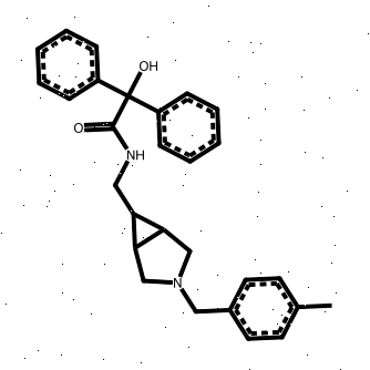 Cc1ccc(CN2CC3C(CNC(=O)C(O)(c4ccccc4)c4ccccc4)C3C2)cc1